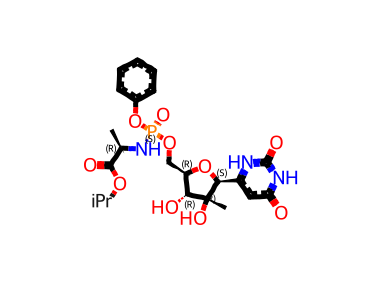 CC(C)OC(=O)[C@@H](C)N[P@](=O)(OC[C@H]1O[C@@H](c2cc(=O)[nH]c(=O)[nH]2)[C@](C)(O)[C@@H]1O)Oc1ccccc1